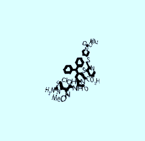 CON=C(C(=O)N[C@@H]1C(=O)N2C(C(=O)O)=C(Sc3cccnc3CSC3CCN(C(=O)OC(C)(C)C)C3)C(C(c3ccccc3)c3ccccc3)C[C@H]12)c1nc(N)sc1Cl